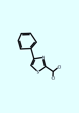 ClC(Cl)c1nc(-c2cc[c]cc2)cs1